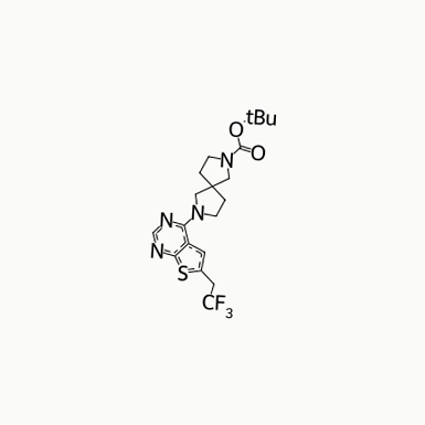 CC(C)(C)OC(=O)N1CCC2(CCN(c3ncnc4sc(CC(F)(F)F)cc34)C2)C1